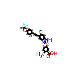 Cc1ccc(Oc2nc3cc(C#Cc4ccc(OC(F)(F)F)cc4)c(Cl)cc3[nH]2)cc1C(=O)O